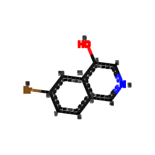 Oc1cncc2ccc(Br)cc12